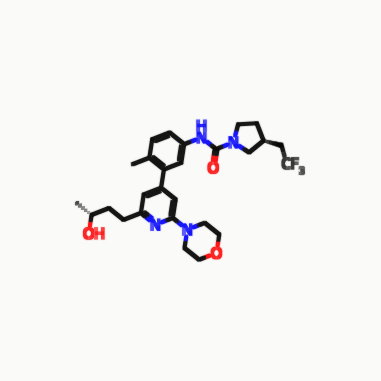 Cc1ccc(NC(=O)N2CC[C@@H](CC(F)(F)F)C2)cc1-c1cc(CC[C@@H](C)O)nc(N2CCOCC2)c1